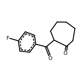 O=C1CCCCCC1C(=O)c1ccc(F)cc1